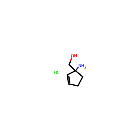 Cl.NC1(CO)C=CCC1